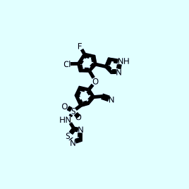 N#Cc1cc(S(=O)(=O)Nc2ncns2)ccc1Oc1cc(Cl)c(F)cc1-c1cn[nH]c1